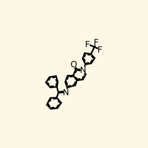 O=c1c2ccc(N=C(c3ccccc3)c3ccccc3)cc2ccn1-c1ccc(C(F)(F)F)cc1